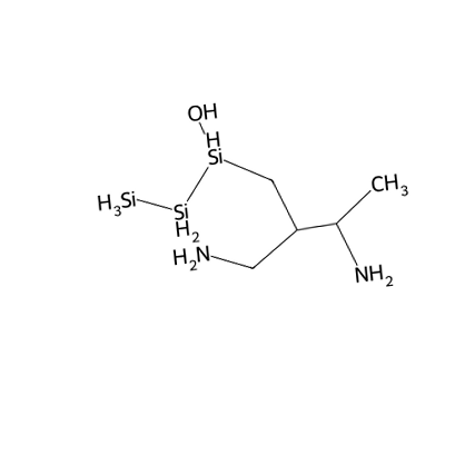 CC(N)C(CN)C[SiH](O)[SiH2][SiH3]